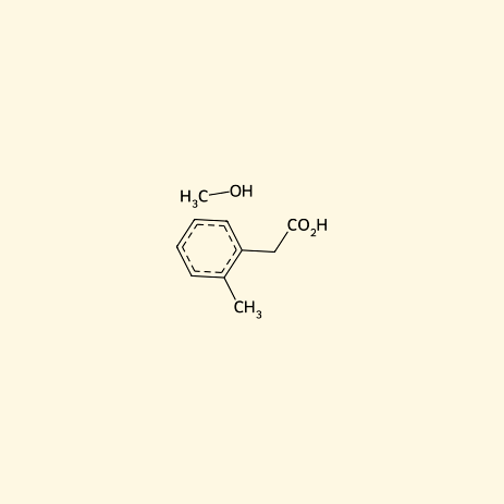 CO.Cc1ccccc1CC(=O)O